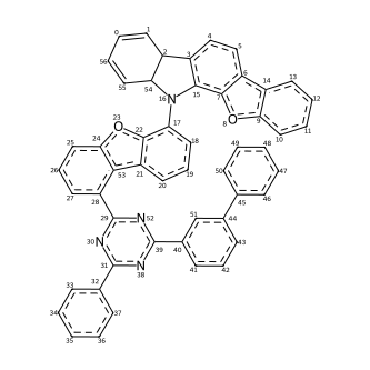 C1=CC2c3ccc4c(oc5ccccc54)c3N(c3cccc4c3oc3cccc(-c5nc(-c6ccccc6)nc(-c6cccc(-c7ccccc7)c6)n5)c34)C2C=C1